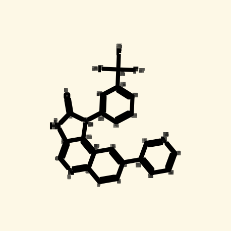 O=c1[nH]c2cnc3ccc(-c4cccnc4)cc3c2n1-c1cccc(C(F)(F)F)c1